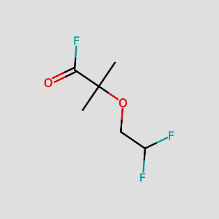 CC(C)(OCC(F)F)C(=O)F